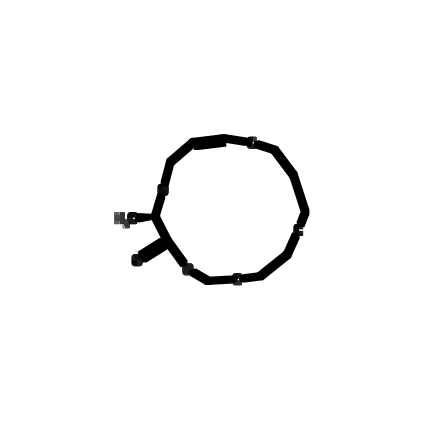 C[C@H]1OC/C=C\CCCCCCCCCOC1=O